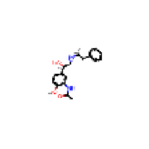 COc1ccc([C@@H](O)CN[C@H](C)Cc2ccccc2)cc1NC(C)=O